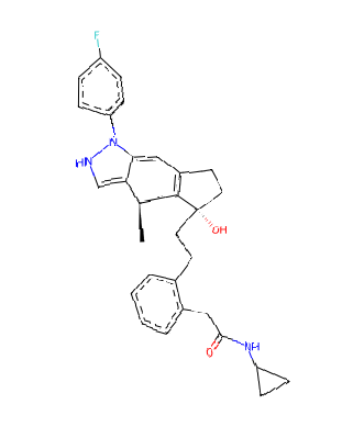 C[C@H]1C2=CNN(c3ccc(F)cc3)C2=CC2=C1[C@](O)(CCc1ccccc1CC(=O)NC1CC1)CC2